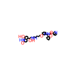 O=C(NC(c1ccccc1)c1cccc(OCCCCCNCC(O)c2ccc(O)c3[nH]c(=O)ccc23)c1)OC1CN2CCC1CC2